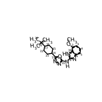 COc1cccc2nc(Nc3nnc(C4CCC(C(C)(C)C)CC4)o3)[nH]c12